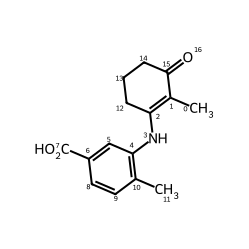 CC1=C(Nc2cc(C(=O)O)ccc2C)CCCC1=O